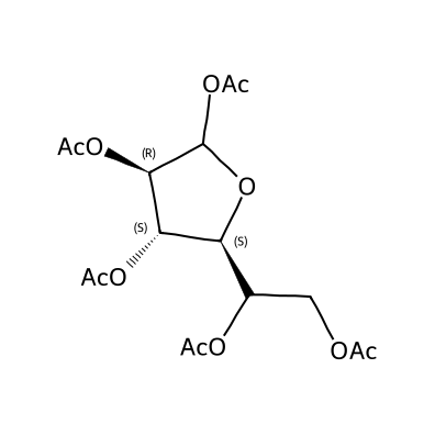 CC(=O)OCC(OC(C)=O)[C@@H]1OC(OC(C)=O)[C@H](OC(C)=O)[C@H]1OC(C)=O